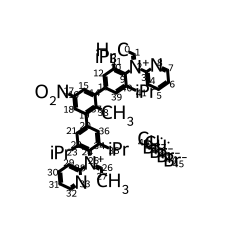 CC=[N+](c1ccccn1)c1c(C(C)C)cc(-c2cc([N+](=O)[O-])cc(-c3cc(C(C)C)c([N+](=CC)c4ccccn4)c(C(C)C)c3)c2C)cc1C(C)C.[Br-].[Br-].[Br-].[Br-].[Cu].[Cu]